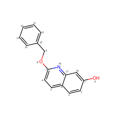 Oc1ccc2ccc(OCc3ccccc3)nc2c1